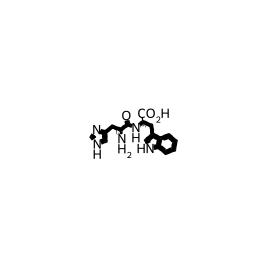 N[C@@H](Cc1c[nH]cn1)C(=O)N[C@@H](Cc1c[nH]c2ccccc12)C(=O)O